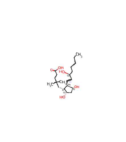 CCCCC[C@H](O)/C=C/[C@@H]1[C@@H](CC(C)(C)CCC(=O)O)[C@@H](O)C[C@H]1O